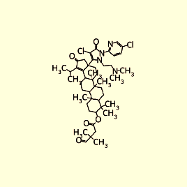 CC(C)C1=C2C3CCC4C5(C)CCC(OC(=O)CC(C)(C)C=O)C(C)(C)C5CCC4(C)[C@]3(C)CCC2(c2c(Cl)c(=O)n(-c3ccc(Cl)cn3)n2CCN(C)C)CC1=O